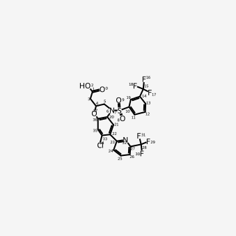 O=C(O)CC1CN(S(=O)(=O)c2cccc(C(F)(F)F)c2)c2cc(-c3cccc(C(F)(F)F)n3)c(Cl)cc2O1